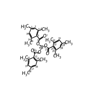 Cc1cc(C)c(C(=O)OB(OC(=O)c2c(C)cc(C)cc2C)OC(=O)c2c(C)cc(C)cc2C)c(C)c1